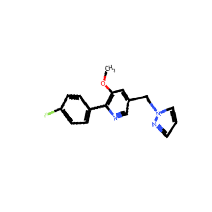 COc1cc(Cn2cccn2)cnc1-c1ccc(F)cc1